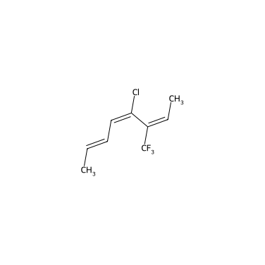 C\C=C(/C(Cl)=C\C=C\C)C(F)(F)F